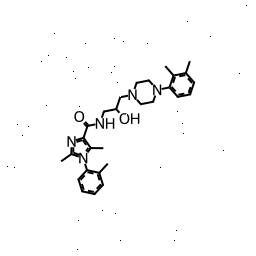 Cc1ccccc1-n1c(C)nc(C(=O)NCC(O)CN2CCN(c3cccc(C)c3C)CC2)c1C